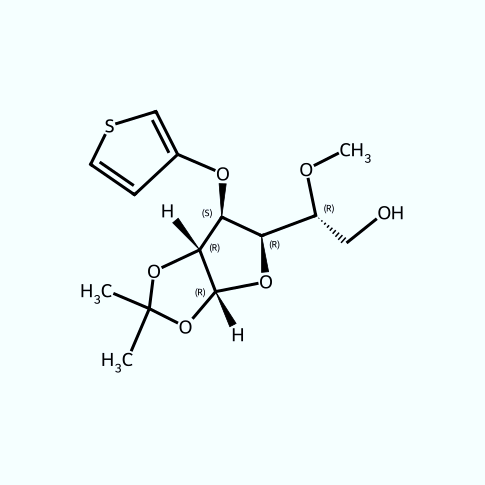 CO[C@H](CO)[C@H]1O[C@@H]2OC(C)(C)O[C@@H]2[C@H]1Oc1ccsc1